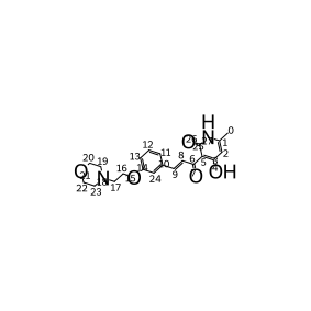 Cc1cc(O)c(C(=O)/C=C/c2cccc(OCCN3CCOCC3)c2)c(=O)[nH]1